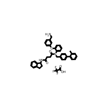 Cc1ccccc1-c1ccc(CN(C(=O)CCC(=O)NC2CCc3ccccc32)c2ccccc2Oc2cccc(CN)c2)cc1.O=C(O)C(F)(F)F